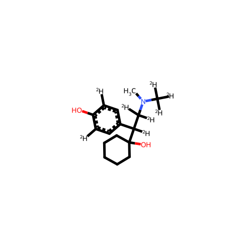 [2H]c1cc(C([2H])(C2(O)CCCCC2)C([2H])([2H])N(C)C([2H])([2H])[2H])cc([2H])c1O